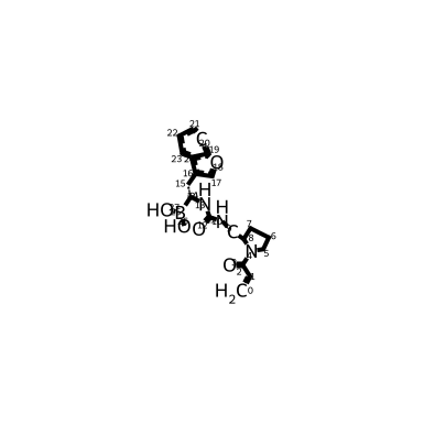 C=CC(=O)N1CCCC1CNC(=O)N[C@@H](Cc1coc2ccccc12)B(O)O